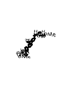 C=C=CC1(F)c2cc(-c3ccc4[nH]c(C5CCCN5C(=O)[C@@H](NC(=O)OC)C(C)C)nc4c3)ccc2-c2ccc(-c3c[nH]c([C@@H]4C=CCN4C(=O)[C@@H](NC(=O)OC)C(C)C)n3)cc21